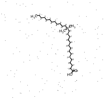 CCCCCCCCCCCC[N+](C)(C)CCCCCCCCCCCCCCC(=O)O